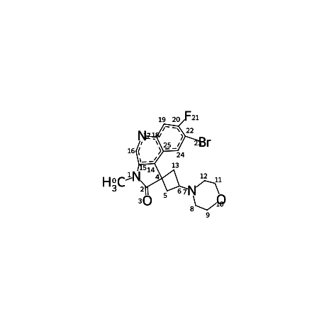 CN1C(=O)C2(CC(N3CCOCC3)C2)c2c1cnc1cc(F)c(Br)cc21